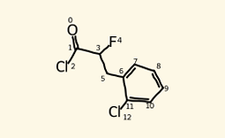 O=C(Cl)C(F)Cc1ccccc1Cl